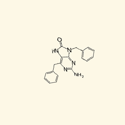 Nc1nc(Cc2ccccc2)c2[nH]c(=O)n(Cc3ccccc3)c2n1